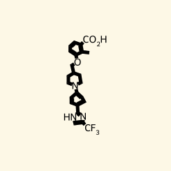 Cc1c(OCC2CCN(c3ccc(-c4nc(C(F)(F)F)c[nH]4)cc3)CC2)cccc1C(=O)O